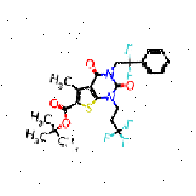 Cc1c(C(=O)OC(C)(C)C)sc2c1c(=O)n(CC(F)(F)c1ccccc1)c(=O)n2CCC(F)(F)F